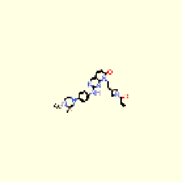 C=CC(=O)N1CC(CCn2c(=O)ccc3cnc(Nc4ccc(N5CCN(C(C)=O)[C@H](C)C5)cc4)nc32)C1